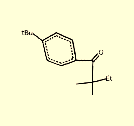 CCC(C)(C)C(=O)c1ccc(C(C)(C)C)cc1